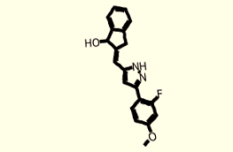 COc1ccc(-c2cc(/C=C3\Cc4ccccc4C3O)[nH]n2)c(F)c1